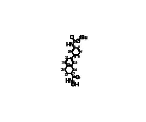 CC(C)(C)OC(=O)Nc1cccc(-c2ccc3c(c2)CC(C(=O)NO)CC3)c1